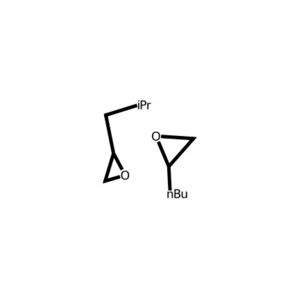 CC(C)CC1CO1.CCCCC1CO1